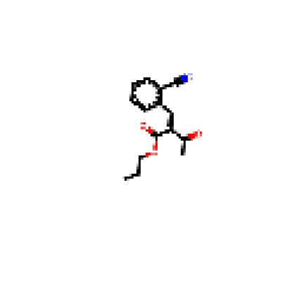 CCCOC(=O)C(=Cc1ccccc1C#N)C(C)=O